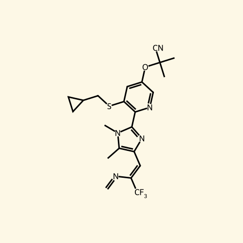 C=N/C(=C\c1nc(-c2ncc(OC(C)(C)C#N)cc2SCC2CC2)n(C)c1C)C(F)(F)F